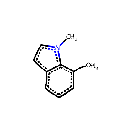 Cc1cccc2[c]cn(C)c12